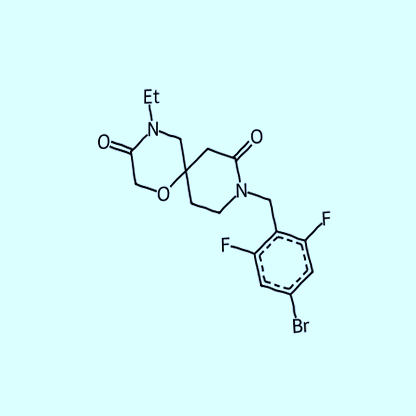 CCN1CC2(CCN(Cc3c(F)cc(Br)cc3F)C(=O)C2)OCC1=O